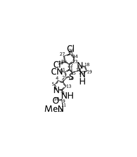 [C-]#[N+]c1c(-c2ccnc(NC(=O)CNC)c2)sc(-c2ncc[nH]2)c1-c1ccc(Cl)cc1Cl